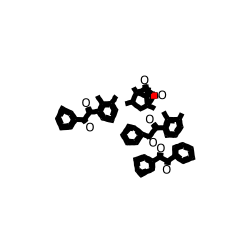 CC1CC2(C)C(=O)C(=O)C1(C)C2(C)C.Cc1cccc(C(=O)C(=O)c2ccccc2)c1C.Cc1cccc(C(=O)C(=O)c2ccccc2)c1C.O=C(C(=O)c1ccccc1)c1ccccc1